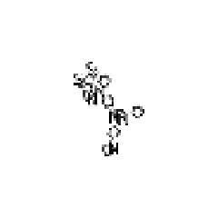 c1ccc(-c2cc(-c3ccc(N4c5ccccc5C5(c6cccnc64)c4ccsc4-c4sccc45)cc3)nc(-c3ccc(-c4ccccn4)cc3)n2)cc1